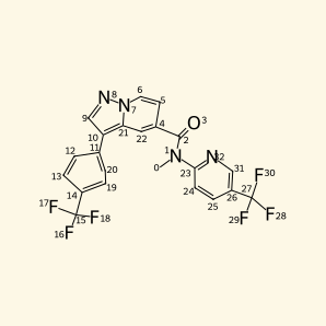 CN(C(=O)c1ccn2ncc(-c3ccc(C(F)(F)F)cc3)c2c1)c1ccc(C(F)(F)F)cn1